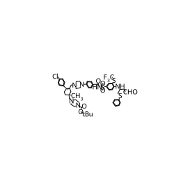 CC(C)(C)OC(=O)N1CCN(C[C@]2(C)CCC(c3ccc(Cl)cc3)=C(CN3CCN(c4ccc(C(=O)NS(=O)(=O)c5ccc(NC(CC=O)CSc6ccccc6)c(SC(F)(F)F)c5)cc4)CC3)C2)CC1